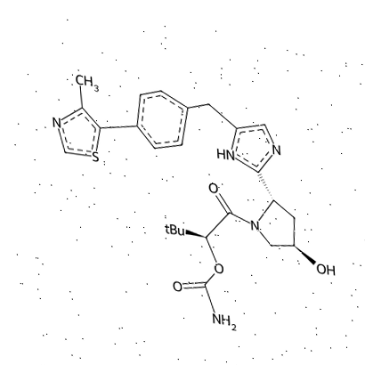 Cc1ncsc1-c1ccc(Cc2cnc([C@@H]3C[C@@H](O)CN3C(=O)[C@@H](OC(N)=O)C(C)(C)C)[nH]2)cc1